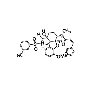 COc1ccc2c3c1O[C@H]1[C@H](N(C)C(=O)/C=C\c4ccoc4)CC[C@@]4(O)[C@@H](C2)N(S(=O)(=O)c2cccc(C#N)c2)CC[C@]314